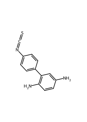 Nc1ccc(N)c(-c2ccc(N=C=S)cc2)c1